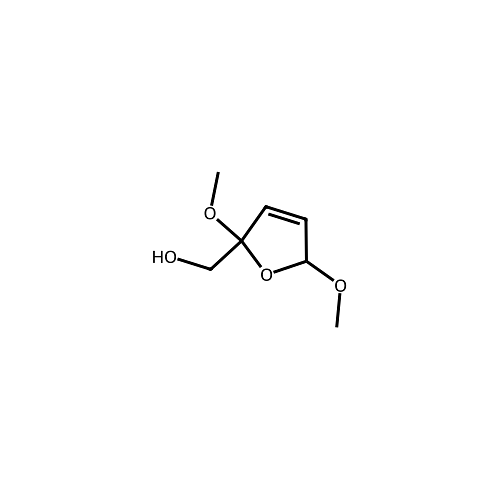 COC1C=CC(CO)(OC)O1